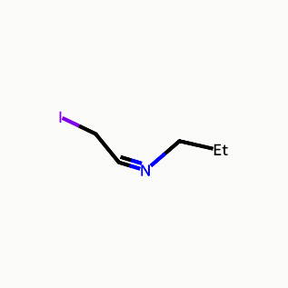 CCC/N=C\CI